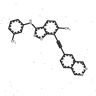 Cc1ccc2c(Nc3cccc(C(F)(F)F)c3)noc2c1C#Cc1ccc2cnncc2c1